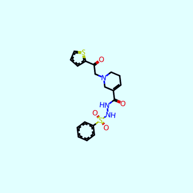 O=C(NNS(=O)(=O)c1ccccc1)C1=CCCN(CC(=O)c2cccs2)C1